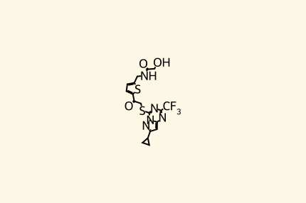 O=C(CO)NCc1ccc(C(=O)CSc2nc(C(F)(F)F)nc3cc(C4CC4)nn23)s1